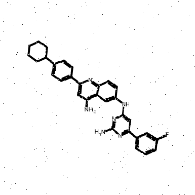 Nc1nc(Nc2ccc3nc(-c4ccc(C5CCCCC5)cc4)cc(N)c3c2)cc(-c2cccc(F)c2)n1